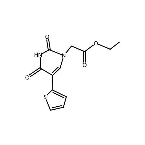 CCOC(=O)Cn1cc(-c2cccs2)c(=O)[nH]c1=O